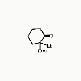 CCC1(OC(C)=O)CCCCC1=O